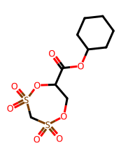 O=C(OC1CCCCC1)C1COS(=O)(=O)CS(=O)(=O)O1